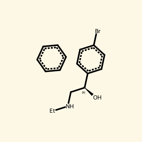 CCNC[C@H](O)c1ccc(Br)cc1.c1ccccc1